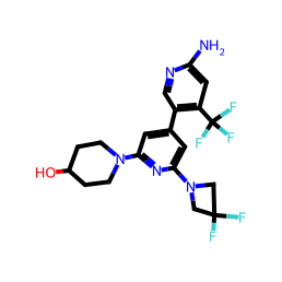 Nc1cc(C(F)(F)F)c(-c2cc(N3CCC(O)CC3)nc(N3CC(F)(F)C3)c2)cn1